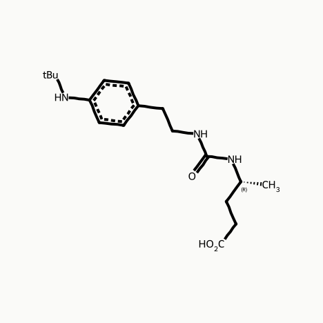 C[C@H](CCC(=O)O)NC(=O)NCCc1ccc(NC(C)(C)C)cc1